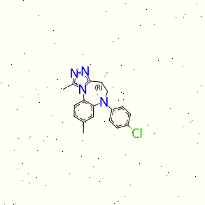 Cc1ccc2c(c1)N(c1ccc(Cl)cc1)C[C@@H](C)c1nnc(C)n1-2